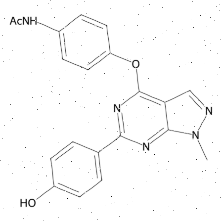 CC(=O)Nc1ccc(Oc2nc(-c3ccc(O)cc3)nc3c2cnn3C)cc1